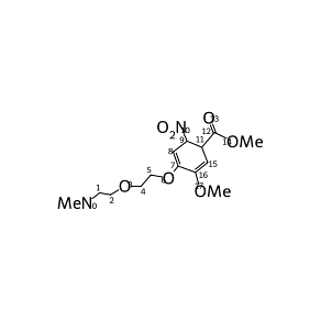 CNCCOCCOC1=CC([N+](=O)[O-])C(C(=O)OC)C=C1OC